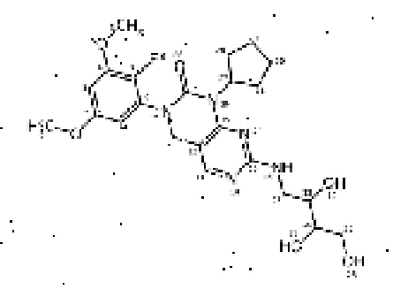 COc1cc(OC)c(F)c(N2Cc3cnc(NCC(O)C(O)CO)nc3N(C3CCCC3)C2=O)c1